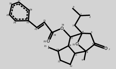 CC(C)CC12CC(=O)C(C)(O1)C1CCC(I)C1C2OC(=O)/C=C/c1ccccc1